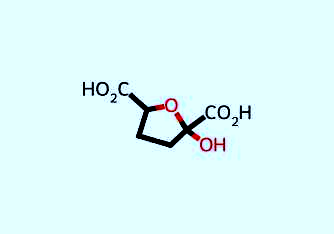 O=C(O)C1CCC(O)(C(=O)O)O1